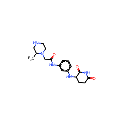 O=C1CCC(Nc2cccc(NC(=O)CN3CCNC[C@@H]3C(F)(F)F)c2)C(=O)N1